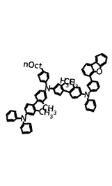 CCCCCCCCc1ccc(N(c2ccc(-c3ccc(N(c4ccccc4)c4ccccc4)cc3C)c(C)c2)c2ccc(-c3ccc(N(c4ccccc4)c4cccc(-c5cccc6c5oc5ccccc56)c4)cc3C)c(C)c2)cc1